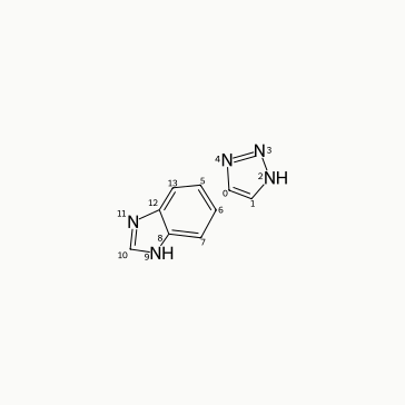 c1c[nH]nn1.c1ccc2[nH]cnc2c1